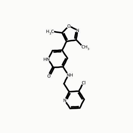 Cc1noc(C)c1-c1c[nH]c(=O)c(NCc2ncccc2Cl)c1